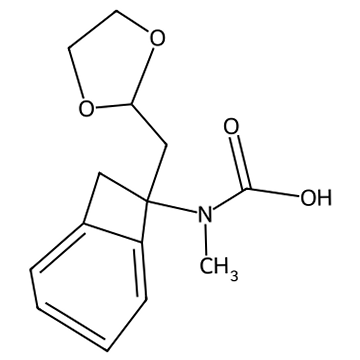 CN(C(=O)O)C1(CC2OCCO2)Cc2ccccc21